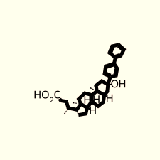 C[C@H](CCC(=O)O)[C@H]1CC[C@H]2[C@@H]3CC[C@@H]4C[C@](O)(c5ccc(-c6ccccc6)cc5)CC[C@]4(C)[C@H]3CC[C@]12C